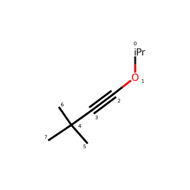 CC(C)OC#CC(C)(C)C